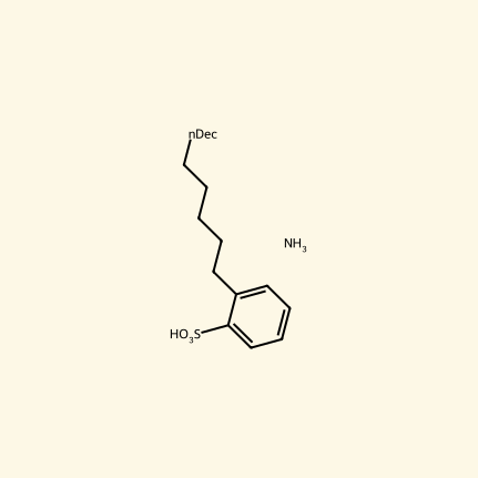 CCCCCCCCCCCCCCCc1ccccc1S(=O)(=O)O.N